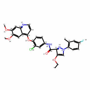 CCOc1cn(-c2ccc(F)cc2C)nc1C(=O)Nc1ccc(Oc2ccnc3cc(OC)c(OC)cc23)c(Cl)c1